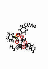 COc1ccc(CO[C@H]2[C@@H]3OC(C)(C)O[C@@H]3[C@H](C)O[C@@H]2[S+]([O-])c2ccccc2)cc1